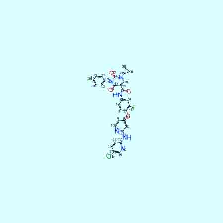 O=C(Nc1ccc(Oc2ccnc(Nc3ccc(Cl)cn3)c2)c(F)c1)c1cn(C2CC2)c(=O)n(-c2ccc(F)cc2)c1=O